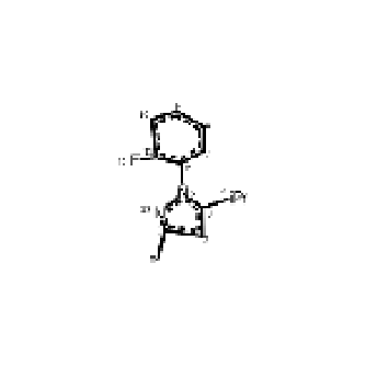 Cc1cc(C(C)C)n(-c2ccccc2F)n1